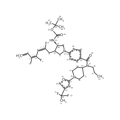 C=C/C(F)=C(F)\C=C(\F)CC1CN(c2ncc(C(=O)N(CCC)C3CCN(c4nc(C(C)(F)F)no4)CC3)cn2)C[C@@H]1NC(=O)OC(C)(C)C